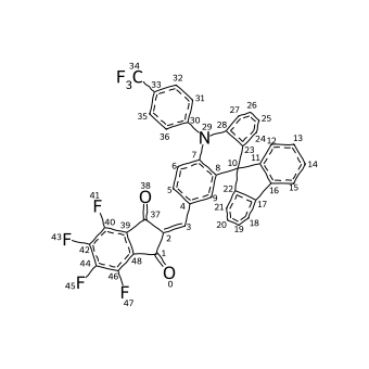 O=C1C(=Cc2ccc3c(c2)C2(c4ccccc4-c4ccccc42)c2ccccc2N3c2ccc(C(F)(F)F)cc2)C(=O)c2c(F)c(F)c(F)c(F)c21